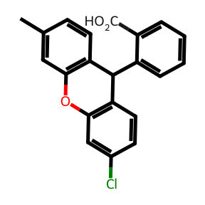 Cc1ccc2c(c1)Oc1cc(Cl)ccc1C2c1ccccc1C(=O)O